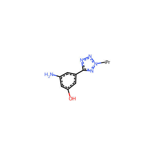 CC(C)n1nnc(-c2cc(N)cc(O)c2)n1